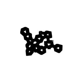 c1ccc(-c2nc(-c3ccccc3)nc(-c3cccc4oc5cc(-n6c7cc8ccccc8cc7c7cc8ccccc8cc76)c(-c6ccccc6)cc5c34)n2)cc1